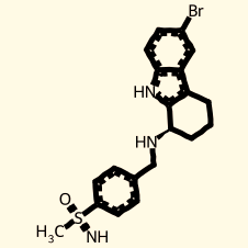 CS(=N)(=O)c1ccc(CN[C@@H]2CCCc3c2[nH]c2ccc(Br)cc32)cc1